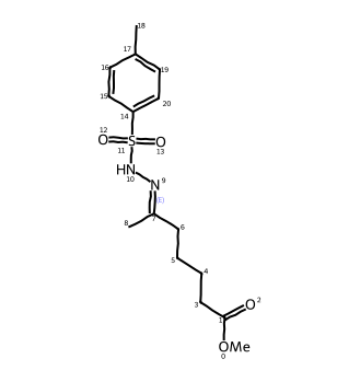 COC(=O)CCCC/C(C)=N/NS(=O)(=O)c1ccc(C)cc1